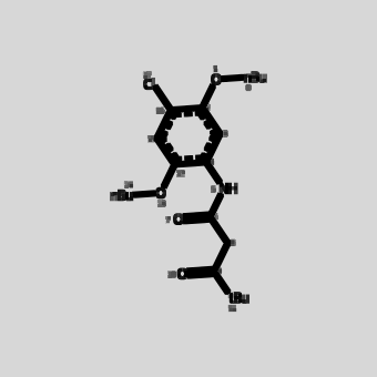 CCCCOc1cc(NC(=O)CC(=O)C(C)(C)C)c(OCCCC)cc1Cl